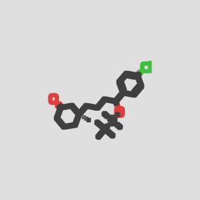 CC(C)(C)[Si](C)(C)OC(CCC[C@@]1(C)CCCC(=O)C1)c1ccc(Cl)cc1